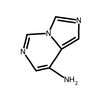 Nc1cncn2cncc12